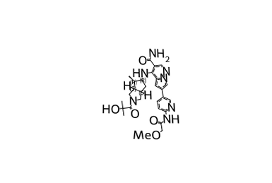 COCC(=O)Nc1ccc(-c2cc3c(N[C@@H]4C[C@@H]5CN(C(=O)C(C)(C)O)C[C@@H]5[C@H]4C)c(C(N)=O)cnn3c2)cn1